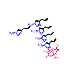 C=CCc1cn(N)nn1.C=CCc1cn(N)nn1.C=CCc1cn(N)nn1.C=CCc1cn(N)nn1.C=CCc1cn(N)nn1.O=P(O)(O)OP(=O)(O)OP(=O)(O)O